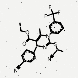 CCOC(=O)C1=C(C)N(c2cccc(C(F)(F)F)c2)C(SC(C)C#N)=NC1c1ccc(C#N)cc1